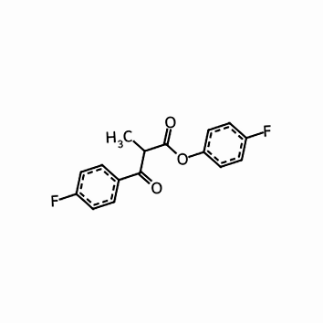 CC(C(=O)Oc1ccc(F)cc1)C(=O)c1ccc(F)cc1